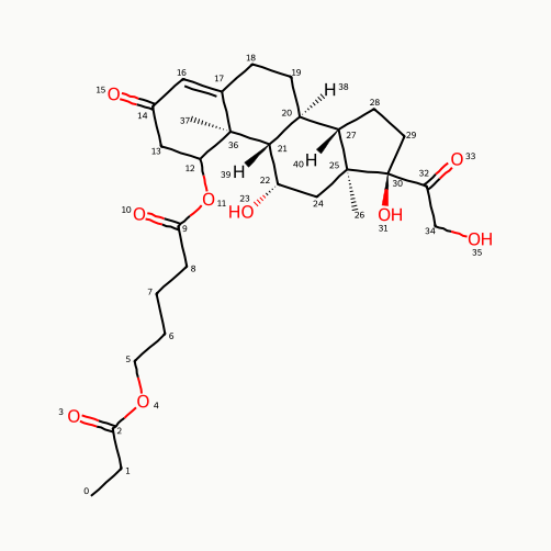 CCC(=O)OCCCCC(=O)OC1CC(=O)C=C2CC[C@@H]3[C@H]([C@@H](O)C[C@@]4(C)[C@H]3CC[C@]4(O)C(=O)CO)[C@]21C